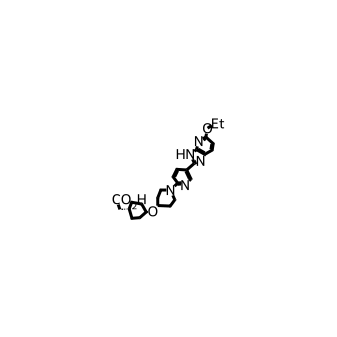 CCOc1ccc2nc(-c3ccc(N4CCC(O[C@H]5CC[C@@H](CC(=O)O)CC5)CC4)nc3)[nH]c2n1